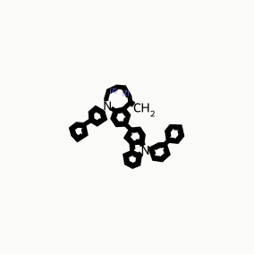 C=C1/C=C\C=C/CN(c2ccc(-c3ccccc3)cc2)c2ccc(-c3ccc4c(c3)c3ccccc3n4-c3cccc(-c4ccccc4)c3)cc21